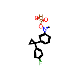 CN(O[SH](=O)=O)c1cccc(C2(c3ccc(F)cc3)CC2)c1